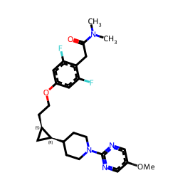 COc1cnc(N2CCC([C@H]3C[C@H]3CCOc3cc(F)c(CC(=O)N(C)C)c(F)c3)CC2)nc1